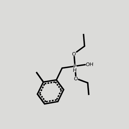 CCO[PH](O)(Cc1ccccc1C)OCC